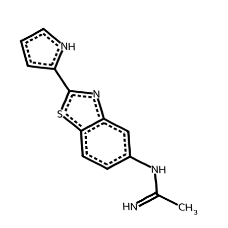 CC(=N)Nc1ccc2sc(-c3ccc[nH]3)nc2c1